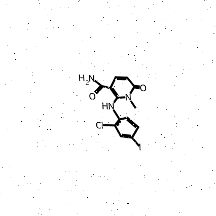 Cn1c(Nc2ccc(I)cc2Cl)c(C(N)=O)ccc1=O